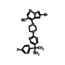 CC(N)(c1ccc(F)cc1)c1cnc(N2CCN(c3c(C#N)cnn4cc(Br)cc34)CC2)nc1